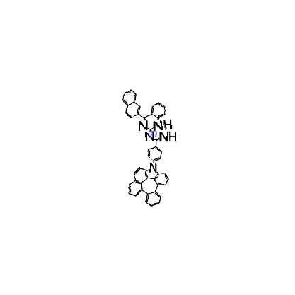 N=C(/N=c1/nc(-c2ccc3ccccc3c2)c2ccccc2[nH]1)c1ccc(-n2c3cccc4c3c3c5c(cccc5ccc32)-c2ccccc2-4)cc1